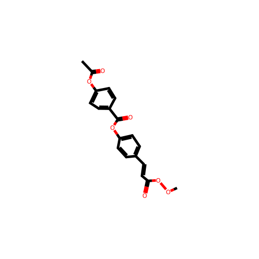 COOC(=O)/C=C/c1ccc(OC(=O)c2ccc(OC(C)=O)cc2)cc1